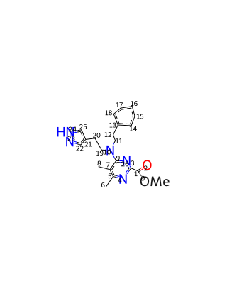 COC(=O)c1nc(C)c(C)c(N(CCc2ccccc2)CCc2cn[nH]c2)n1